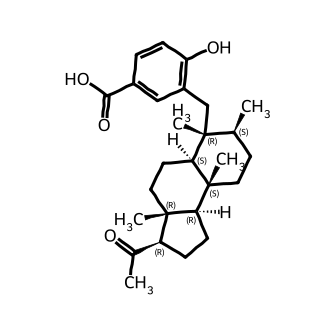 CC(=O)[C@@H]1CC[C@@H]2[C@@]3(C)CC[C@H](C)[C@@](C)(Cc4cc(C(=O)O)ccc4O)[C@@H]3CC[C@]21C